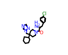 N[C@@H](Cc1ccc(Cl)cc1)C(=O)N1CCC(Cn2cncn2)(C2CCCCC2)CC1